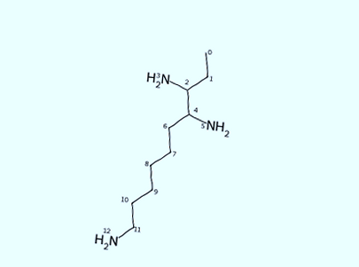 CCC(N)C(N)CCCCCCN